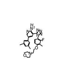 Cc1cc(C)cc(-c2cnc(N)c(-c3nnnn3-c3ccc(OCCN4CCOCC4)c(C)c3F)c2)c1